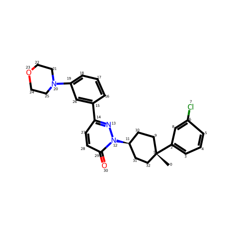 C[C@]1(c2cccc(Cl)c2)CC[C@H](n2nc(-c3cccc(N4CCOCC4)c3)ccc2=O)CC1